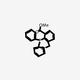 COC(=O)c1cccc(CC(C)C)c1P(c1ccccc1)c1ccccc1